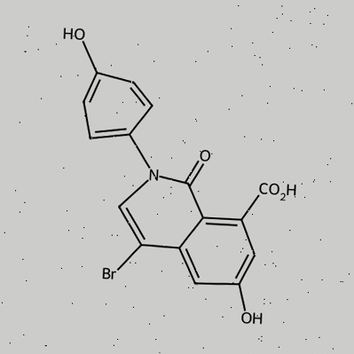 O=C(O)c1cc(O)cc2c(Br)cn(-c3ccc(O)cc3)c(=O)c12